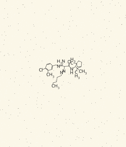 CCCCC/N=N/C(C(=O)NC1C2(C)CCC(C2)C1(C)C)/C(N)=N/Cc1ccc(Cl)c(C)c1